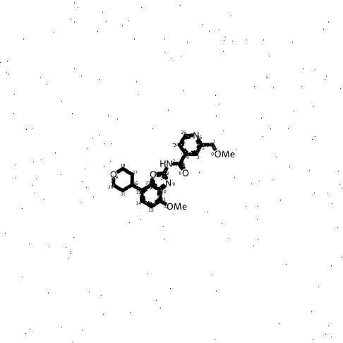 COCc1cc(C(=O)Nc2nc3c(OC)ccc(C4CCOCC4)c3o2)ccn1